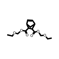 CCOCOC(=O)C1C2C=CC(C2)C1C(=O)OCOCC